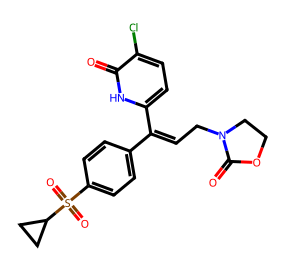 O=C1OCCN1CC=C(c1ccc(S(=O)(=O)C2CC2)cc1)c1ccc(Cl)c(=O)[nH]1